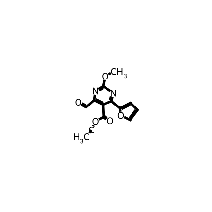 CCOC(=O)c1c(C=O)nc(OC)nc1-c1ccco1